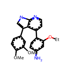 CCOc1cc(N)ccc1-c1ccnc2c1C(c1ccc(OC)c(OC)c1)=C[N]2